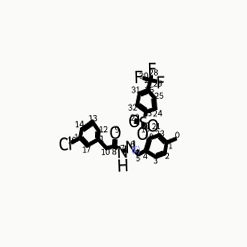 Cc1ccc(/C=N/NC(=O)Cc2cccc(Cl)c2)c(OS(=O)(=O)c2ccc(C(F)(F)F)cc2)c1